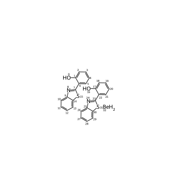 Oc1ccccc1-c1nc2ccccc2s1.Oc1ccccc1-c1nc2ccccc2s1.[BeH2]